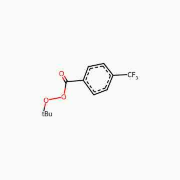 CC(C)(C)OOC(=O)c1ccc(C(F)(F)F)cc1